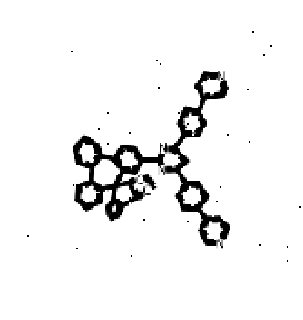 c1ccc2c(c1)-c1ccccc1C1(c3cc(-c4nc(-c5ccc(-c6ccncc6)cc5)cc(-c5ccc(-c6ccncc6)cc5)n4)ccc3-2)c2ccccc2-c2ccccc21